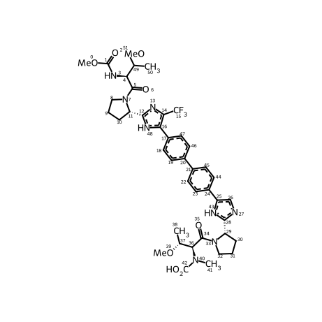 COC(=O)N[C@H](C(=O)N1CCC[C@H]1c1nc(C(F)(F)F)c(-c2ccc(-c3ccc(-c4cnc([C@@H]5CCCN5C(=O)[C@H]([C@@H](C)OC)N(C)C(=O)O)[nH]4)cc3)cc2)[nH]1)C(C)OC